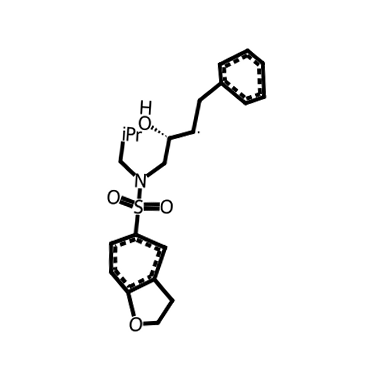 CC(C)CN(C[C@H](O)[CH]Cc1ccccc1)S(=O)(=O)c1ccc2c(c1)CCO2